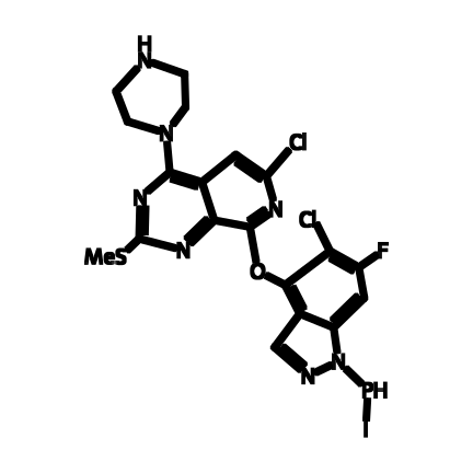 CSc1nc(N2CCNCC2)c2cc(Cl)nc(Oc3c(Cl)c(F)cc4c3cnn4PI)c2n1